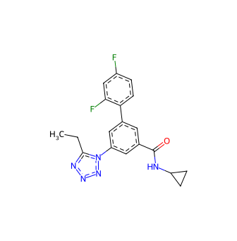 CCc1nnnn1-c1cc(C(=O)NC2CC2)cc(-c2ccc(F)cc2F)c1